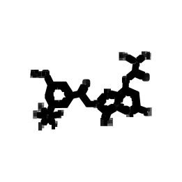 CCN(CC)C(=O)Oc1cc(Cl)nn2c(=N)n(CC(=O)c3cc(OC)cc(S(F)(F)(F)(F)F)c3)nc12